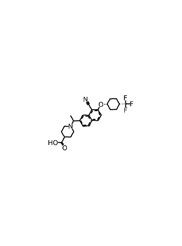 CC(c1ccc2ccc(O[C@H]3CC[C@@H](C(F)(F)F)CC3)c(C#N)c2c1)N1CCC(C(=O)O)CC1